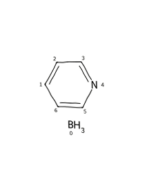 B.c1ccncc1